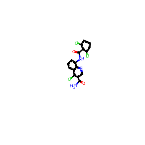 NC(=O)c1cnc2c(NC(=O)c3c(Cl)cccc3Cl)cccc2c1Cl